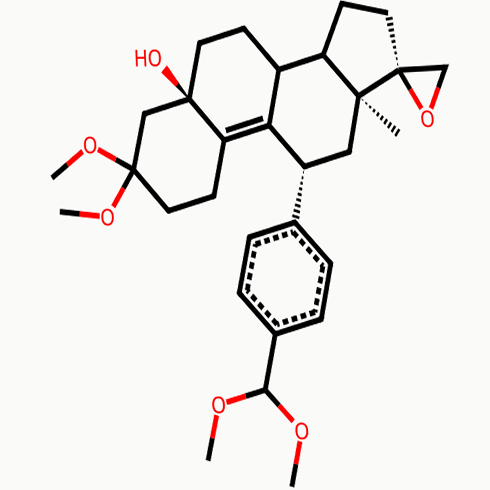 COC(OC)c1ccc([C@H]2C[C@@]3(C)C(CC[C@@]34CO4)C3CC[C@@]4(O)CC(OC)(OC)CCC4=C32)cc1